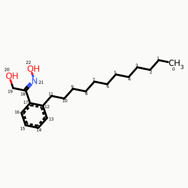 CCCCCCCCCCCCc1ccccc1C(CO)=NO